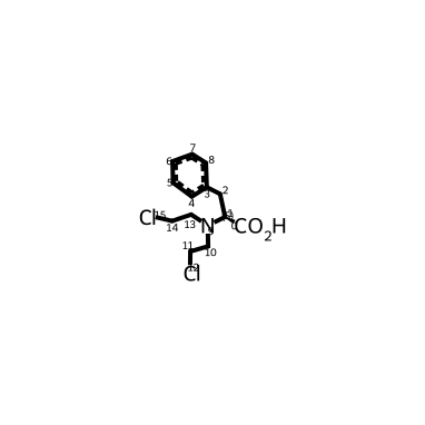 O=C(O)[C@H](Cc1ccccc1)N(CCCl)CCCl